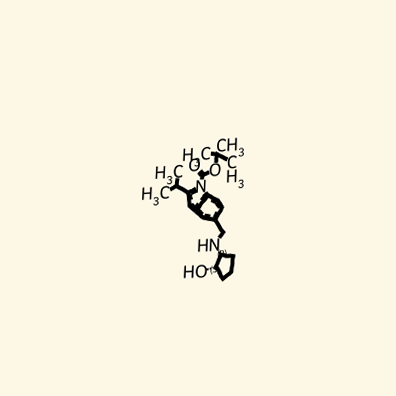 CC(C)c1cc2cc(CN[C@@H]3CCC[C@@H]3O)ccc2n1C(=O)OC(C)(C)C